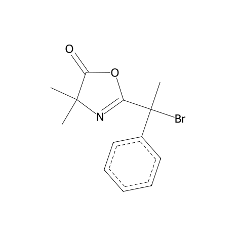 CC1(C)N=C(C(C)(Br)c2ccccc2)OC1=O